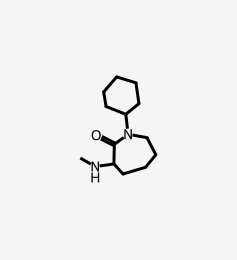 CNC1CCCCN(C2CCCCC2)C1=O